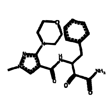 Cn1cc(C(=O)NC(Cc2ccccc2)C(=O)C(N)=O)c(N2CCOCC2)n1